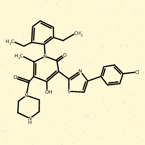 CCc1cccc(CC)c1-n1c(C)c(C(=O)N2CCNCC2)c(O)c(-c2nc(-c3ccc(Cl)cc3)cs2)c1=O